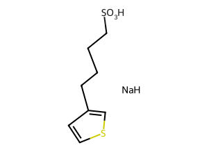 O=S(=O)(O)CCCCc1ccsc1.[NaH]